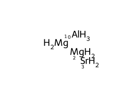 [AlH3].[MgH2].[MgH2].[SrH2]